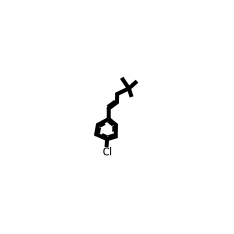 CC(C)(C)CC=Cc1ccc(Cl)cc1